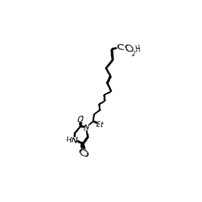 CCC(CCCCCCCCCCCC(=O)O)N1CC(=O)NCC1=O